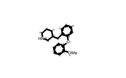 COc1ccccc1Oc1ccccc1CC1CCCNC1